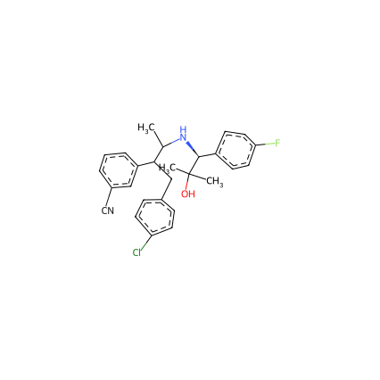 CC(N[C@@H](c1ccc(F)cc1)C(C)(C)O)C(Cc1ccc(Cl)cc1)c1cccc(C#N)c1